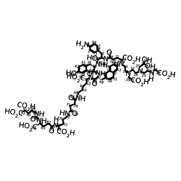 Nc1ccc(CC(NC(=O)CCC(NCCN(CCN(CCNCC(=O)O)CC(O)O)CC(=O)O)C(=O)O)C(O)N[C@H](Cc2ccc(O)cc2)C(=O)N[C@H](Cc2ccc3ccccc3c2)C(=O)N[C@H](CCCCNC(=O)CCC(=O)NCCCC(NC(=O)CC[C@H](NC(=O)N[C@@H](CCC(=O)O)C(=O)O)C(=O)O)C(=O)O)C(=O)O)cc1